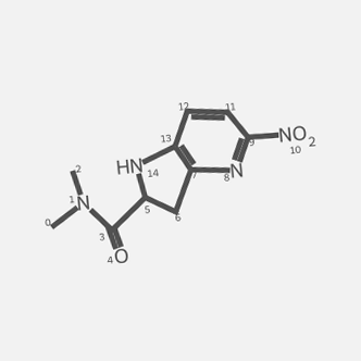 CN(C)C(=O)C1Cc2nc([N+](=O)[O-])ccc2N1